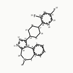 CN1Cc2ccccc2-n2c(nnc2C2CCC(c3ncc(F)cc3F)CC2)C1